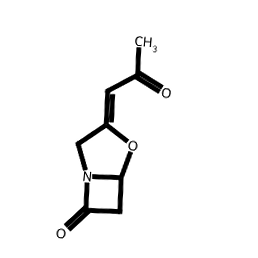 CC(=O)C=C1CN2C(=O)CC2O1